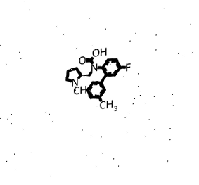 Cc1cccc(-c2cc(F)ccc2N(C[C@@H]2CCCN2C)C(=O)O)c1